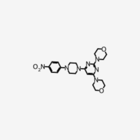 O=[N+]([O-])c1ccc(N2CCN(c3cc(N4CCOCC4)nc(N4CCOCC4)n3)CC2)cc1